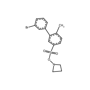 Cc1ccc(S(=O)(=O)ON2CCC2)cc1-c1cccc(Br)c1